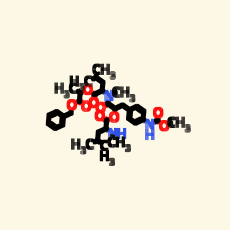 CNC(CC(C)C)C(=O)OC(Cc1ccc(NC(=O)OC)cc1)C(=O)N(C)C(CC(C)C)C(=O)OC(C)C(=O)OCc1ccccc1